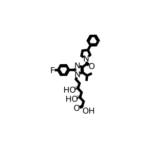 CC(C)c1c(C(=O)N2CCC(c3ccccc3)C2)nc(-c2ccc(F)cc2)n1CC[C@@H](O)C[C@@H](O)CC(=O)O